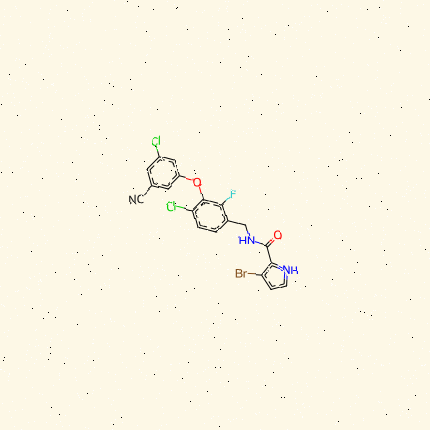 N#Cc1cc(Cl)cc(Oc2c(Cl)ccc(CNC(=O)c3[nH]ccc3Br)c2F)c1